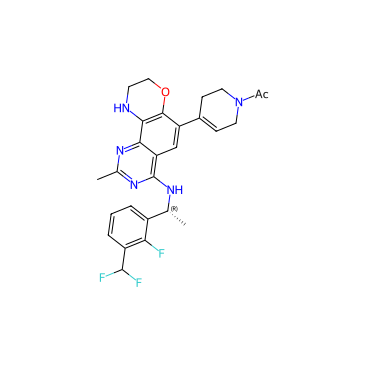 CC(=O)N1CC=C(c2cc3c(N[C@H](C)c4cccc(C(F)F)c4F)nc(C)nc3c3c2OCCN3)CC1